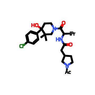 CC(=O)N1CCC(CC(=O)NC(C(=O)N2CCC(O)(c3ccc(Cl)cc3)C(C)(C)C2)C(C)C)C1